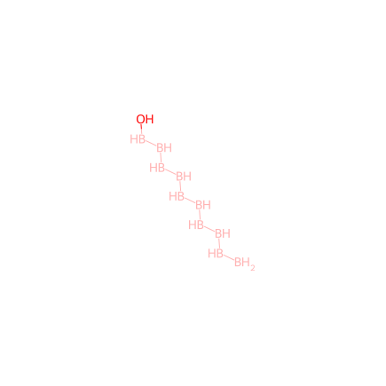 BBBBBBBBBBO